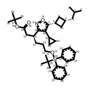 CC(C)C[C@H]1C[C@@H](c2onc([C@@H](CCCO[Si](c3ccccc3)(c3ccccc3)C(C)(C)C)CC(=O)OC(C)(C)C)c2C2CC2)C1